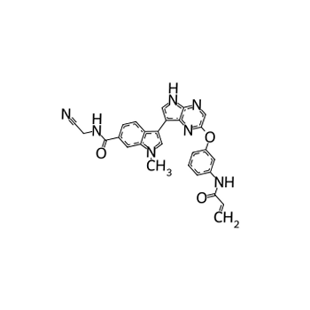 C=CC(=O)Nc1cccc(Oc2cnc3[nH]cc(-c4cn(C)c5cc(C(=O)NCC#N)ccc45)c3n2)c1